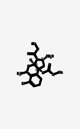 CN1O[C@H]2N(C(=O)OC(C)(C)C)[C@H](C(=O)O)C[C@@]2(OC(=O)OC(C)(C)C)C2=C1C(Cl)=CCC2